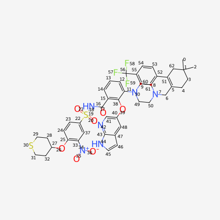 CC1(C)CCC(CN2CCN(c3cccc(C(=O)NS(=O)(=O)c4ccc(OC5CCSCC5)c([N+](=O)[O-])c4)c3Oc3cnc4[nH]ccc4c3)CC2)=C(c2ccc(C(F)(F)F)cc2)C1